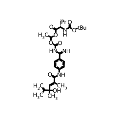 C=C(C)C(C)(O)/C=C(\C)C(=O)Nc1ccc(C(=N)NC(=O)OC(C)OC(=O)[C@@H](NC(=O)OC(C)(C)C)C(C)C)cc1